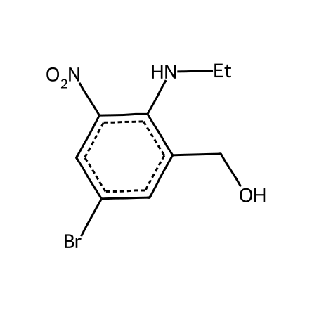 CCNc1c(CO)cc(Br)cc1[N+](=O)[O-]